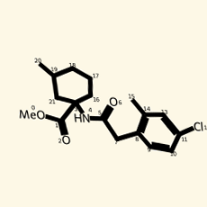 COC(=O)C1(NC(=O)Cc2ccc(Cl)cc2C)CCCC(C)C1